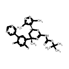 Cc1noc(C)c1[C@@H]1C[C@@](C)(c2cc(-c3cncnc3)c(F)cc2F)N=C(NC(=O)OC(C)(C)C)S1